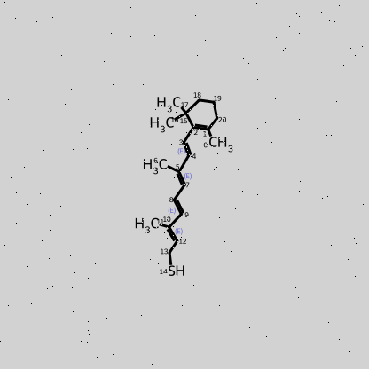 CC1=C(/C=C/C(C)=C/C=C/C(C)=C/CS)C(C)(C)CCC1